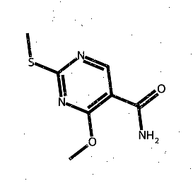 COc1nc(SC)ncc1C(N)=O